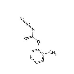 Cc1ccccc1OC(=O)N=[N+]=[N-]